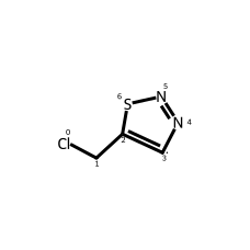 ClCc1[c]nns1